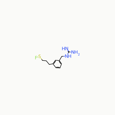 N=C(N)NCc1cccc(CCCSF)c1